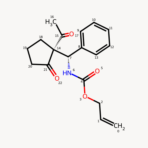 C=CCOC(=O)N[C@@H](c1ccccc1)[C@]1(C(C)=O)CCCC1=O